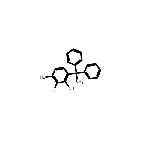 CC(c1ccccc1)(c1ccccc1)c1ccc(O)c(O)c1O